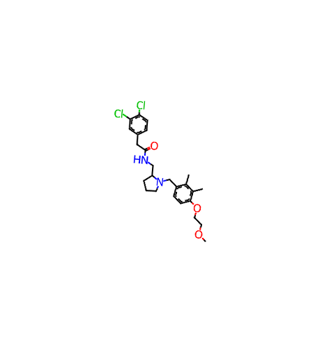 COCCOc1ccc(CN2CCCC2CNC(=O)Cc2ccc(Cl)c(Cl)c2)c(C)c1C